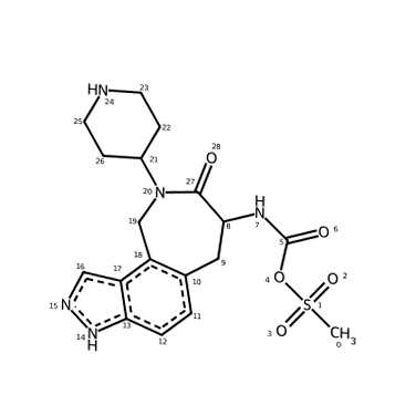 CS(=O)(=O)OC(=O)NC1Cc2ccc3[nH]ncc3c2CN(C2CCNCC2)C1=O